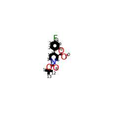 COC(=O)[C@H]1CN(C(=O)OC(C)(C)C)CC[C@@H]1c1ccc(F)cc1